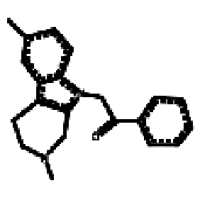 Cc1ccc2c(c1)c1c(n2CC(=O)c2ccccc2)CN(C)CC1